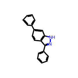 c1ccc(-c2ccc3c(-c4ccccc4)n[nH]c3c2)cc1